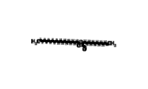 CCCCCCCCCCCCCCCCCCCCC(=O)OC(CC=O)CCCCCCCCCCCCC